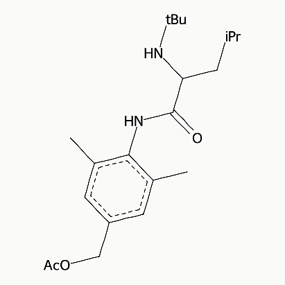 CC(=O)OCc1cc(C)c(NC(=O)C(CC(C)C)NC(C)(C)C)c(C)c1